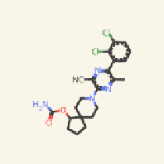 Cc1nc(N2CCC3(CCCC3OC(N)=O)CC2)c(C#N)nc1-c1cccc(Cl)c1Cl